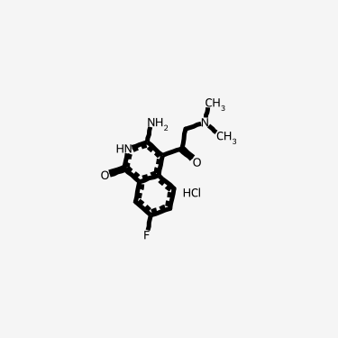 CN(C)CC(=O)c1c(N)[nH]c(=O)c2cc(F)ccc12.Cl